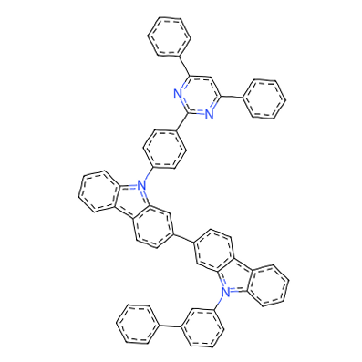 c1ccc(-c2cccc(-n3c4ccccc4c4ccc(-c5ccc6c7ccccc7n(-c7ccc(-c8nc(-c9ccccc9)cc(-c9ccccc9)n8)cc7)c6c5)cc43)c2)cc1